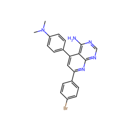 CN(C)c1ccc(-c2cc(-c3ccc(Br)cc3)nc3ncnc(N)c23)cc1